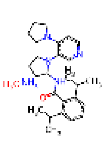 CC(C)c1cccc(C(C)C)c1C(=O)NC1CCCN1c1cnccc1N1CCCC1.N.O